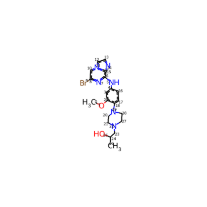 COc1cc(Nc2nc(Br)cn3ccnc23)ccc1N1CCN(CC(C)O)CC1